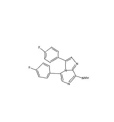 CNc1ncc(-c2ccc(F)cc2)n2c(-c3ccc(F)cc3)cnc12